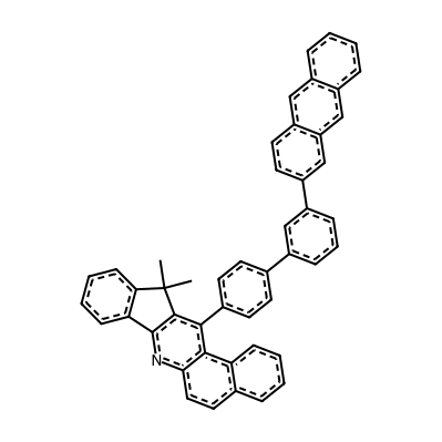 CC1(C)c2ccccc2-c2nc3ccc4ccccc4c3c(-c3ccc(-c4cccc(-c5ccc6cc7ccccc7cc6c5)c4)cc3)c21